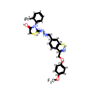 CC(C)c1ccccc1N1C(=O)CS/C1=N\N=C\c1ccc2c(COc3ccc(OC(F)(F)F)cc3)nsc2c1